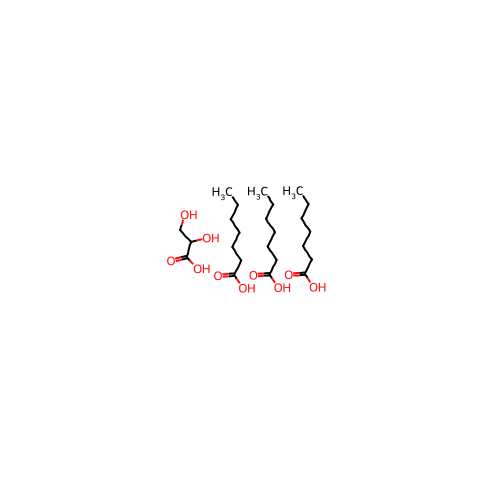 CCCCCCC(=O)O.CCCCCCC(=O)O.CCCCCCC(=O)O.O=C(O)C(O)CO